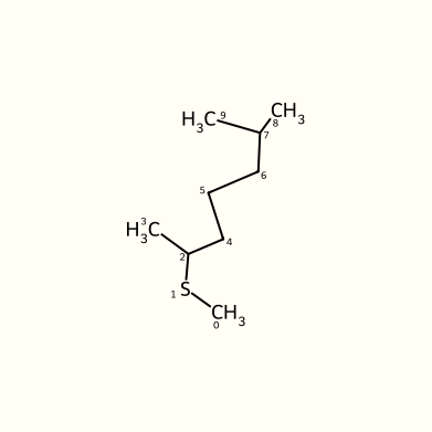 CSC(C)CCCC(C)C